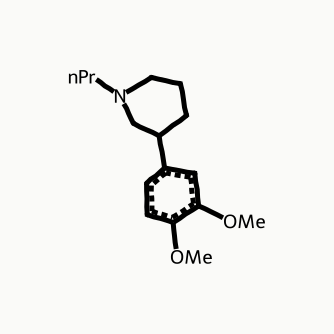 CCCN1CCCC(c2ccc(OC)c(OC)c2)C1